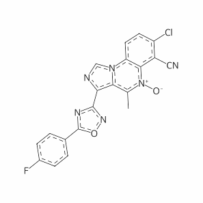 Cc1c2c(-c3noc(-c4ccc(F)cc4)n3)ncn2c2ccc(Cl)c(C#N)c2[n+]1[O-]